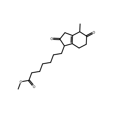 COC(=O)CCCCCCC1C(=O)CC2=C1CCC(=O)C2C